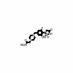 CNC(=O)CN1CCN(Cc2cc(O)c(N3CC(=O)NS3(=O)=O)c(F)c2)CC1